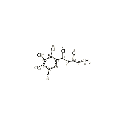 C=CC(=O)OC(Cl)c1cc(Cl)c(Cl)c(Cl)c1Cl